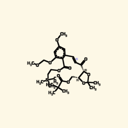 COCOc1cc(OC)cc(/C=C/C(=O)[C@@H]2OC(C)(C)O[C@@H]2COC(=O)C(C)(C)C)c1C(=O)OCC[Si](C)(C)C